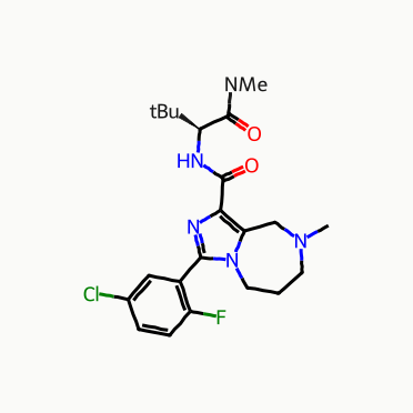 CNC(=O)[C@@H](NC(=O)c1nc(-c2cc(Cl)ccc2F)n2c1CN(C)CCC2)C(C)(C)C